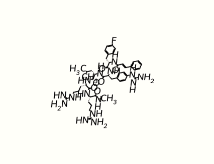 CNC(=O)[C@H](CCCNC(=N)N)NC(=O)[C@H](CCCNC(=N)N)NC(=O)[C@H](CC(C)C)NC(=O)[C@H](Cc1ccc(NC(=N)N)cc1)NC(=O)[C@H](Cc1ccc(F)cc1)NC(=O)/C=C/c1ccccc1